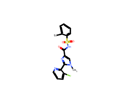 CCc1ccccc1S(=O)(=O)NC(=O)c1cn(C)c(-c2ncccc2F)n1